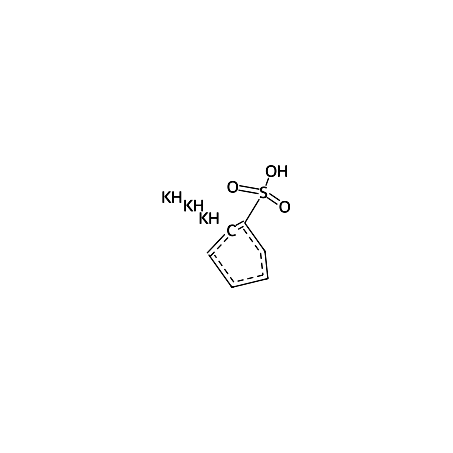 O=S(=O)(O)c1ccccc1.[KH].[KH].[KH]